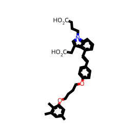 Cc1cc(C)c(C)c(OCCCCOc2ccc(C=Cc3cccc4c3c(CC(=O)O)cn4CCCC(=O)O)cc2)c1